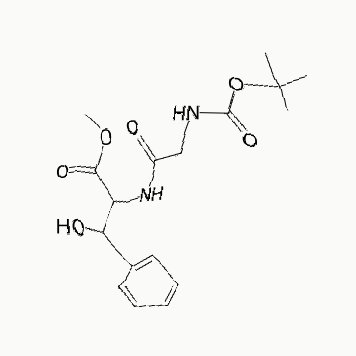 COC(=O)C(NC(=O)CNC(=O)OC(C)(C)C)C(O)c1ccccc1